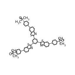 CP(C)(=O)c1ccc(-c2ccc3nc(-c4cc(-c5nc6ccc(-c7ccc(P(C)(C)=O)cc7)cc6s5)cc(-c5nc6ccc(-c7ccc(P(C)(C)=O)cc7)cc6s5)c4)sc3c2)cc1